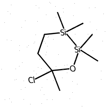 CC1(Cl)CC[Si](C)(C)[Si](C)(C)O1